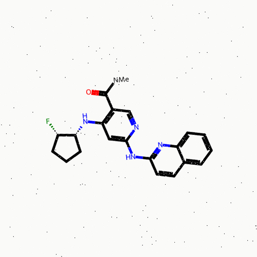 CNC(=O)c1cnc(Nc2ccc3ccccc3n2)cc1N[C@@H]1CCC[C@@H]1F